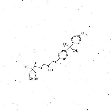 Cc1ccc(C(C)(C)c2ccc(OCC(O)COC(=O)C(C)(CO)CO)cc2)cc1